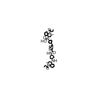 CCC(=O)N1c2ccccc2[C@H](N(C(=O)O)c2ccc(Cn3cc(C(=O)NC4CCC(N[C@@H]5C[C@H](C)N(C(=O)CC)c6ccccc65)CC4)nn3)cc2)C[C@@H]1C